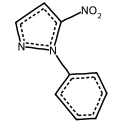 O=[N+]([O-])c1ccnn1-c1ccccc1